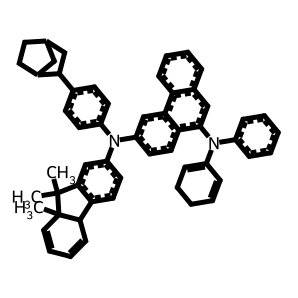 CC1(C)c2cc(N(c3ccc(C4CC5CCC4C5)cc3)c3ccc4c(N(C5=CCCC=C5)c5ccccc5)cc5ccccc5c4c3)ccc2C2C=CC=CC21C